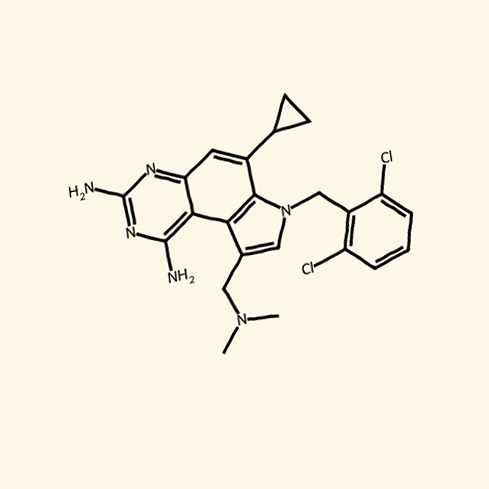 CN(C)Cc1cn(Cc2c(Cl)cccc2Cl)c2c(C3CC3)cc3nc(N)nc(N)c3c12